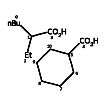 CCCCC(CC)C(=O)O.O=C(O)C1CCCCC1